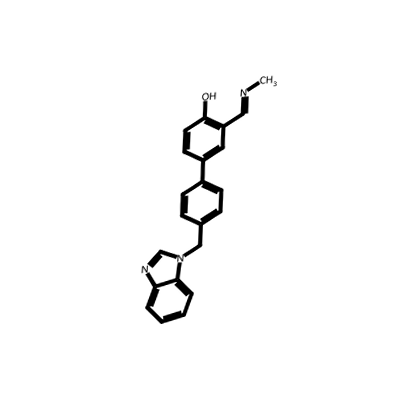 C/N=C/c1cc(-c2ccc(Cn3cnc4ccccc43)cc2)ccc1O